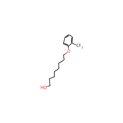 OCCCCCCCCOc1ccccc1C(F)(F)F